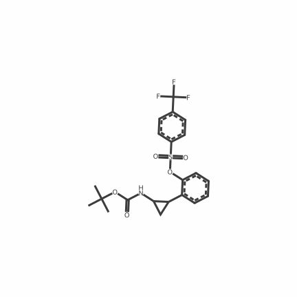 CC(C)(C)OC(=O)NC1CC1c1ccccc1OS(=O)(=O)c1ccc(C(F)(F)F)cc1